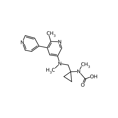 Cc1ncc(N(C)CC2(N(C)C(=O)O)CC2)cc1-c1ccncc1